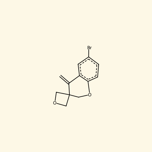 C=C1c2cc(Br)ccc2OCC12COC2